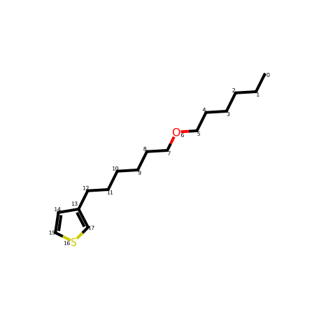 [CH2]CCCCCOCCCCCCc1ccsc1